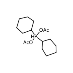 CC(=O)O[PH](OC(C)=O)(C1CCCCC1)C1CCCCC1